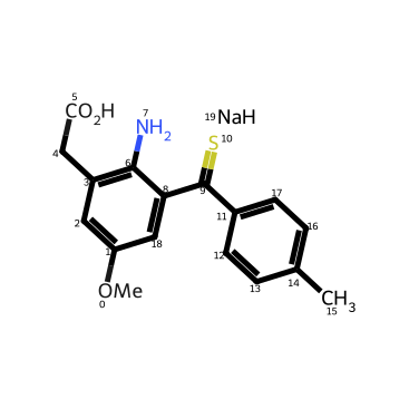 COc1cc(CC(=O)O)c(N)c(C(=S)c2ccc(C)cc2)c1.[NaH]